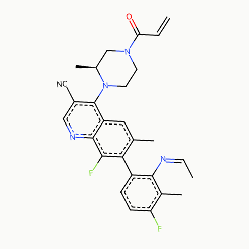 C=CC(=O)N1CCN(c2c(C#N)cnc3c(F)c(-c4ccc(F)c(C)c4/N=C\C)c(C)cc23)[C@@H](C)C1